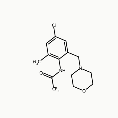 Cc1cc(Cl)cc(CN2CCOCC2)c1NC(=O)C(F)(F)F